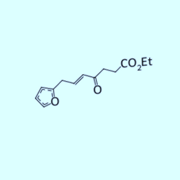 CCOC(=O)CCC(=O)C=CCc1ccco1